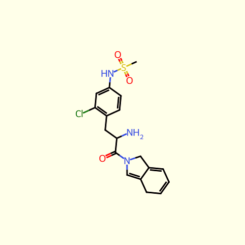 CS(=O)(=O)Nc1ccc(CC(N)C(=O)N2C=C3CC=CC=C3C2)c(Cl)c1